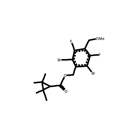 COCc1c(F)c(Br)c(COC(=O)C2C(C)(C)C2(C)C)c(Br)c1F